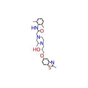 Cc1nc2cc(OC[C@H](O)CN3CCN(CC(=O)Nc4c(C)cccc4C)CC3C)ccc2s1